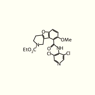 CCOC(=O)N1CCc2oc3ccc(OC)c(C(=O)Nc4c(Cl)cncc4Cl)c3c2C1